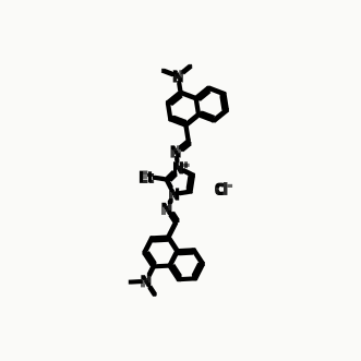 CCc1n(N=Cc2ccc(N(C)C)c3ccccc23)cc[n+]1N=Cc1ccc(N(C)C)c2ccccc12.[Cl-]